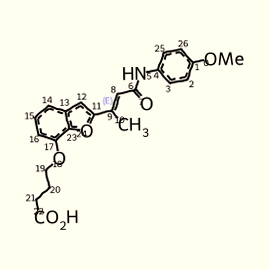 COc1ccc(NC(=O)/C=C(\C)c2cc3cccc(OCCCC(=O)O)c3o2)cc1